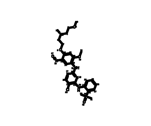 COCCN(C)CCOc1cc(OC)c(Nc2ncc(Cl)c(Nc3ccccc3P(C)(C)=O)n2)cc1N=O